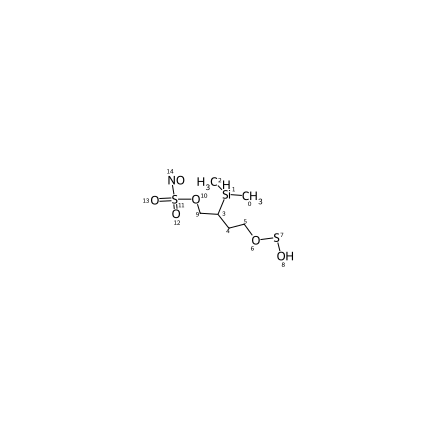 C[SiH](C)C(CCOSO)COS(=O)(=O)N=O